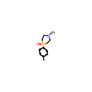 Cc1ccc(P2(=O)CCN(C(C)C)CC2)cc1